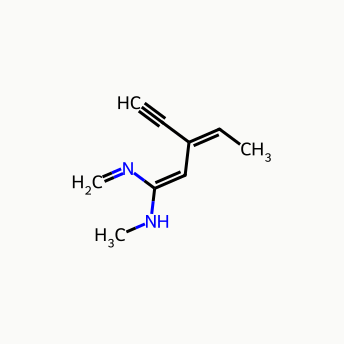 C#CC(/C=C(\N=C)NC)=C/C